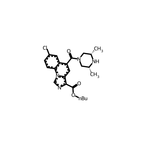 CCCCOC(=O)c1ncn2c1cc(C(=O)N1C[C@@H](C)N[C@@H](C)C1)c1cc(Cl)ccc12